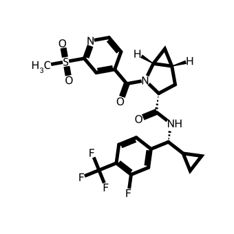 CS(=O)(=O)c1cc(C(=O)N2[C@@H](C(=O)N[C@@H](c3ccc(C(F)(F)F)c(F)c3)C3CC3)C[C@H]3C[C@H]32)ccn1